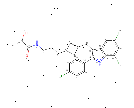 C[C@H](O)C(=O)NCCCC1CC(Cc2c(-c3ccc(F)cc3)[nH]c3c(F)cc(F)cc23)C1